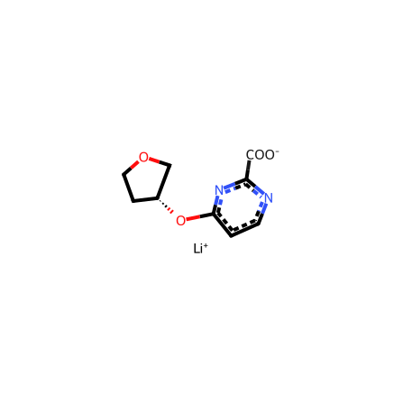 O=C([O-])c1nccc(O[C@@H]2CCOC2)n1.[Li+]